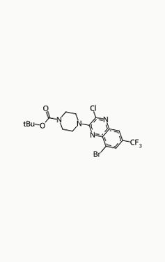 CC(C)(C)OC(=O)N1CCN(c2nc3c(Br)cc(C(F)(F)F)cc3nc2Cl)CC1